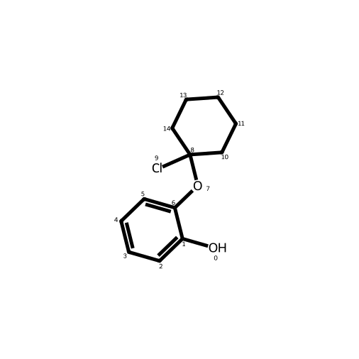 Oc1ccccc1OC1(Cl)CCCCC1